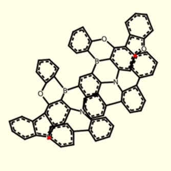 c1ccc(-c2ccccc2N2c3cc4c(cc3B3c5ccccc5Oc5c3c2cc2sc3ccccc3c52)B2c3ccccc3Oc3c2c(cc2oc5ccccc5c32)N4c2c(-c3ccccc3)cccc2-c2ccccc2)cc1